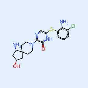 Nc1c(Cl)cccc1Sc1cnc(N2CCC3(CC2)C[C@@H](O)C[C@H]3N)c(=O)[nH]1